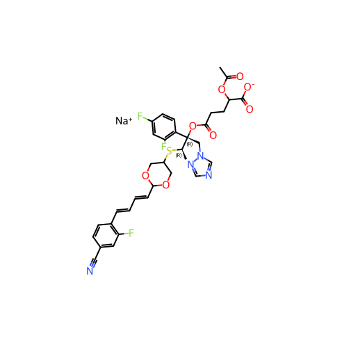 CC(=O)OC(CCC(=O)O[C@@](Cn1cncn1)(c1ccc(F)cc1F)[C@@H](C)SC1COC(C=CC=Cc2ccc(C#N)cc2F)OC1)C(=O)[O-].[Na+]